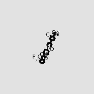 CN(C)C(=O)c1ccc(-c2ccn(C3CCN(C(=O)C(O)(c4ccccc4)C(F)(F)F)CC3)c(=O)c2)cc1Cl